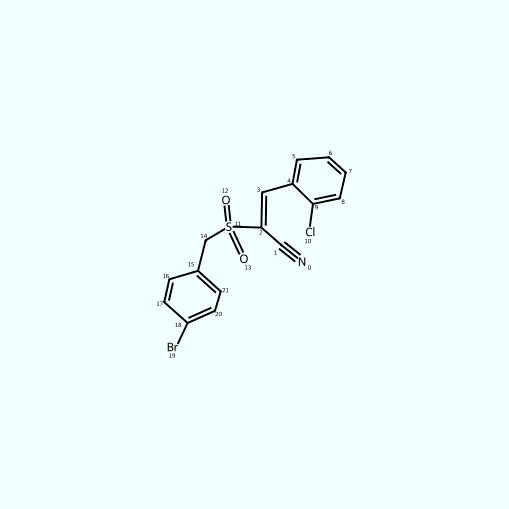 N#CC(=Cc1ccccc1Cl)S(=O)(=O)Cc1ccc(Br)cc1